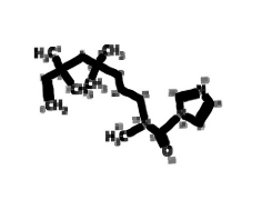 C=CC(C)(C)CC(C)(C)CCCN(C)C(=O)n1ccnc1